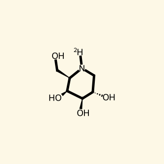 [2H]N1C[C@H](O)[C@@H](O)[C@@H](O)[C@H]1CO